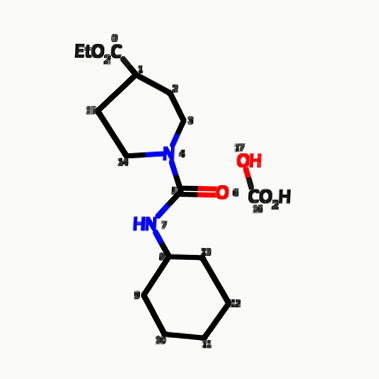 CCOC(=O)C1CCN(C(=O)NC2CCCCC2)CC1.O=C(O)O